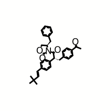 CC(=O)c1ccc(C[C@@H](C(=O)N2C(=O)OC[C@H]2Cc2ccccc2)c2ccc(/C=C/C(C)(C)C)cc2)cc1